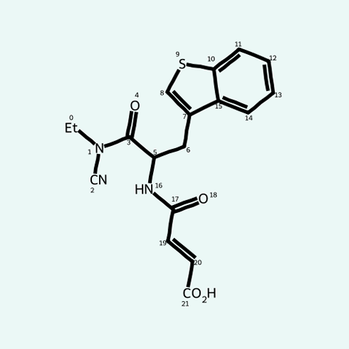 CCN(C#N)C(=O)C(Cc1csc2ccccc12)NC(=O)/C=C/C(=O)O